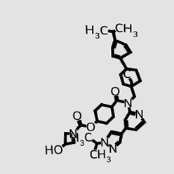 CC(C)c1ccc(C23CCC(CN(C(=O)C4CCC(OC(=O)N5CC(O)C5)CC4)c4cc(-c5cnn(C(C)C)c5)ccn4)(CC2)CC3)cc1